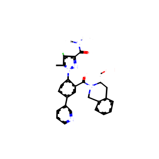 CCCCN(CCCC)C(=O)c1nn(-c2ccc(-c3cccnc3)cc2C(=O)N2Cc3ccccc3C[C@H]2CO)c(C)c1Cl